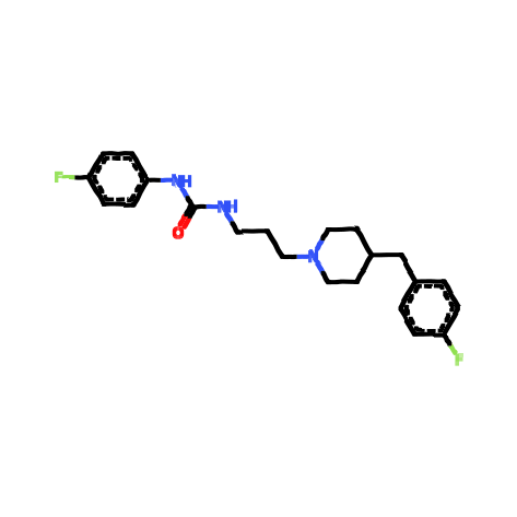 O=C(NCCCN1CCC(Cc2ccc(F)cc2)CC1)Nc1ccc(F)cc1